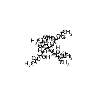 C=CC(=O)OCC(O)COCC(COCC(O)COC(=O)C=C)(COCC(O)C[N+](CC)(CC)CC)CC(CO)[N+](C=C)(C=C)CC